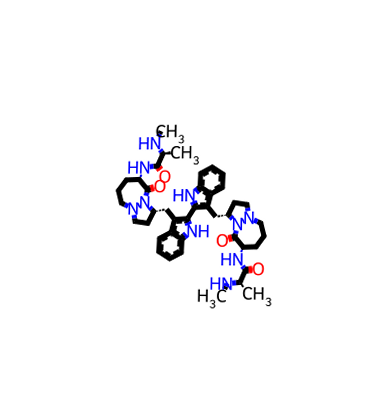 CN[C@@H](C)C(=O)N[C@H]1CCCN2CC[C@@H](Cc3c(-c4[nH]c5ccccc5c4C[C@@H]4CCN5CCC[C@H](NC(=O)[C@H](C)NC)C(=O)N45)[nH]c4ccccc34)N2C1=O